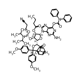 CCCC(=O)O[C@@H]1[C@H](OP(OCCC#N)N(C(C)C)C(C)C)[C@@H](C(OC(c2ccccc2)(c2ccc(OC)cc2)c2ccc(OC)cc2)C(=O)C(C)C)O[C@H]1n1cnc2c(OC(=O)N(c3ccccc3)c3ccccc3)nc(N)nc21